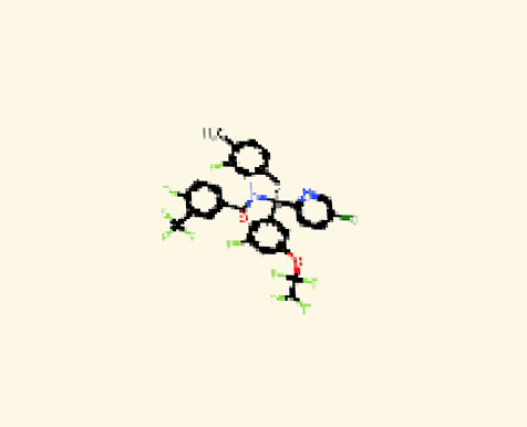 Cc1ccc(C[C@@](NC(=O)c2ccc(F)c(C(F)(F)F)c2)(c2cc(F)cc(OC(F)(F)C(F)F)c2)c2ccc(Cl)cn2)cc1F